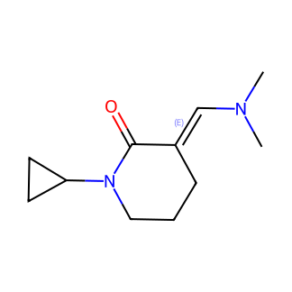 CN(C)/C=C1\CCCN(C2CC2)C1=O